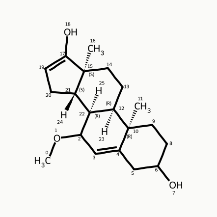 COC1C=C2CC(O)CC[C@]2(C)[C@@H]2CC[C@]3(C)C(O)=CC[C@H]3[C@H]12